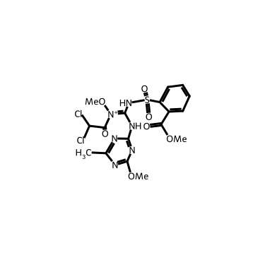 COC(=O)c1ccccc1S(=O)(=O)NC(Nc1nc(C)nc(OC)n1)=[N+](OC)C(=O)C(Cl)Cl